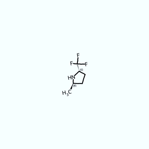 C[C@@H]1CC[C@@H](C(F)(F)F)N1